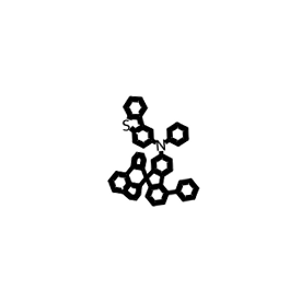 c1ccc(-c2cccc3c2-c2ccc(N(c4ccccc4)c4ccc5sc6ccccc6c5c4)cc2C32c3ccccc3-c3cccc4cccc2c34)cc1